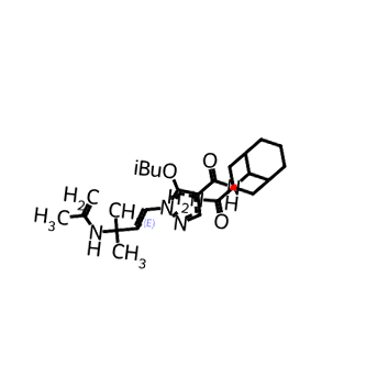 C=C(C)NC(C)(C)/C=C/n1ncc(C(=O)NC2C3CCCC2CC(C(N)=O)C3)c1OCC(C)C